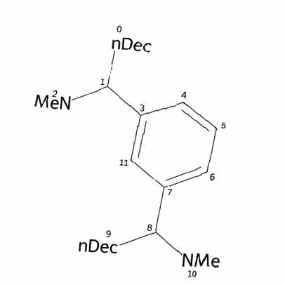 CCCCCCCCCCC(NC)c1cccc(C(CCCCCCCCCC)NC)c1